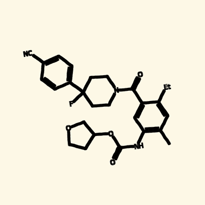 CCc1cc(C)c(NC(=O)OC2CCOC2)cc1C(=O)N1CCC(F)(c2ccc(C#N)cc2)CC1